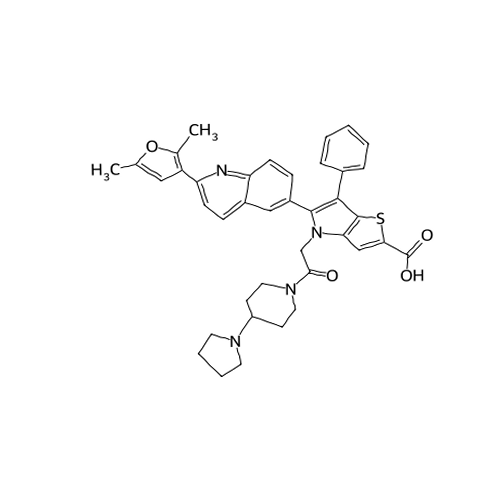 Cc1cc(-c2ccc3cc(-c4c(-c5ccccc5)c5sc(C(=O)O)cc5n4CC(=O)N4CCC(N5CCCC5)CC4)ccc3n2)c(C)o1